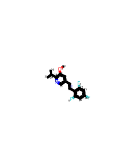 COc1cc(/C=C/c2c(F)cc(F)cc2F)cnc1C(C)C